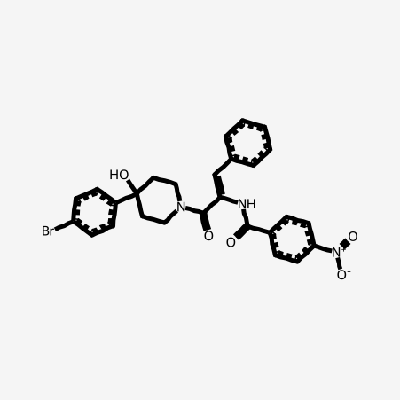 O=C(N/C(=C\c1ccccc1)C(=O)N1CCC(O)(c2ccc(Br)cc2)CC1)c1ccc([N+](=O)[O-])cc1